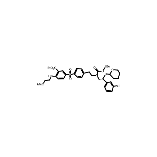 CCOC(=O)c1cc(S(=O)(=O)c2ccc(CCN(C[C@H](OC3CCCCO3)c3cccc(Cl)c3)C(=O)OC(C)(C)C)cc2)ccc1NCCOC